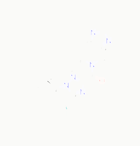 O=C(c1nc2n(n1)[C@H](c1ccccc1)C[C@@H]2F)N1CCC2N=CN=C2C1